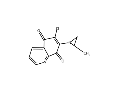 CC1CN1C1=C(Cl)C(=O)c2cccnc2C1=O